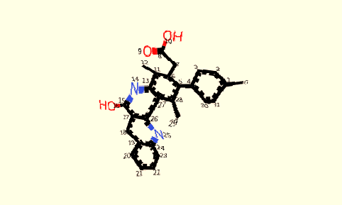 Cc1ccc(-c2c(CC(=O)O)c(C)c3nc(O)c4cc5ccccc5nc4c3c2C)cc1